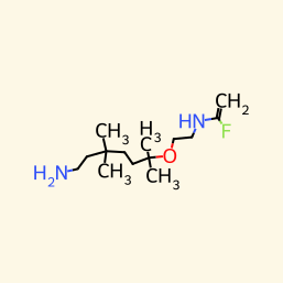 C=C(F)NCCOC(C)(C)CCC(C)(C)CCN